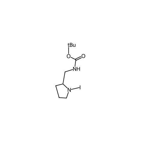 CC(C)(C)OC(=O)NCC1CCCN1I